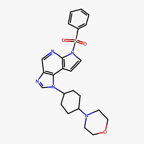 O=S(=O)(c1ccccc1)n1ccc2c3c(cnc21)ncn3C1CCC(N2CCOCC2)CC1